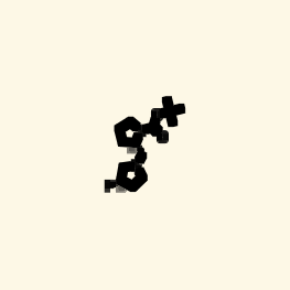 CC(C)(C)OC(=O)N1CCC[C@H]1CN1CC[C@H](F)C1